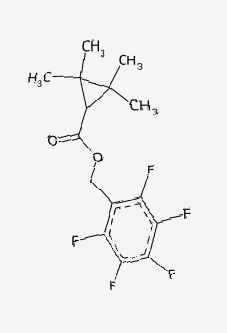 CC1(C)C(C(=O)OCc2c(F)c(F)c(F)c(F)c2F)C1(C)C